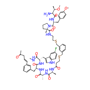 CNC(=O)[C@H](Cc1c[nH]c2ccc(F)cc12)NC(=O)[C@H](Cc1cccc(/C=C/CC(C)=O)c1)NC(=O)[C@@H](C)NC(=O)[C@H](C)NC(=O)CCSCc1cccc(CSCCNC(=O)[C@]2(C)CCCN2C(=O)[C@H](Cc2ccc(OC)cc2)NC(=O)[C@@H](N)[C@@H](C)OC)c1